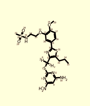 [2H]C([2H])(Sc1nc(N)cc(N)n1)c1nc(-c2ccc(OC)c(OCCNS(C)(=O)=O)c2)sc1CCC